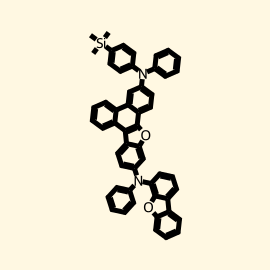 C[Si](C)(C)c1ccc(N(c2ccccc2)c2ccc3c(c2)c2ccccc2c2c4ccc(N(c5ccccc5)c5cccc6c5oc5ccccc56)cc4oc32)cc1